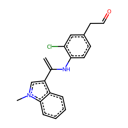 C=C(Nc1ccc(CC=O)cc1Cl)c1cn(C)c2ccccc12